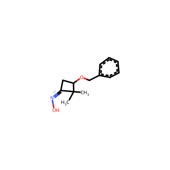 CC1(C)/C(=N\O)CC1OCc1ccccc1